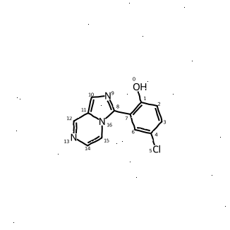 Oc1ccc(Cl)cc1-c1ncc2cnccn12